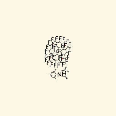 C=CC[NH+](CC=C)c1c(C)cc(C)cc1C.Fc1c([B-](c2c(F)c(C(F)(F)F)c(F)c(C(F)(F)F)c2F)(c2c(F)c(C(F)(F)F)c(F)c(C(F)(F)F)c2F)c2c(F)c(C(F)(F)F)c(F)c(C(F)(F)F)c2F)c(F)c(C(F)(F)F)c(F)c1C(F)(F)F